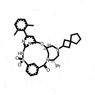 Cc1cccc(C)c1-c1cc2nc(n1)NS(=O)(=O)c1cccc(c1)C(=O)N1C[C@@H](CN(C3CC4(CCCC4)C3)C[C@@H]1C(C)C)O2